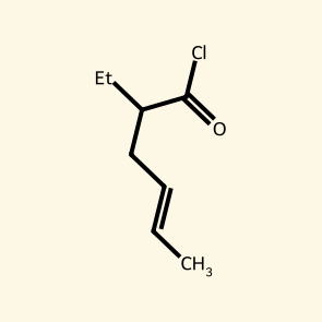 CC=CCC(CC)C(=O)Cl